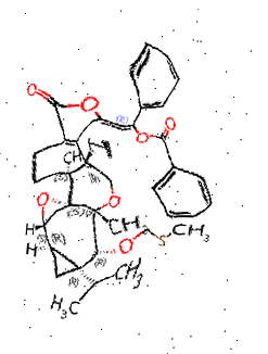 CSCO[C@@H]1[C@@]2(C(C)C)C[C@H]2[C@@H]2O[C@@]23[C@@]2(C)CCC4=C(/C(=C(\OC(=O)c5ccccc5)c5ccccc5)OC4=O)[C@@H]2CO[C@]13C